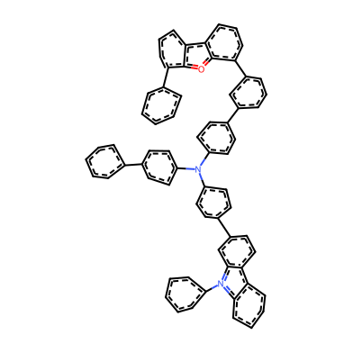 c1ccc(-c2ccc(N(c3ccc(-c4cccc(-c5cccc6c5oc5c(-c7ccccc7)cccc56)c4)cc3)c3ccc(-c4ccc5c6ccccc6n(-c6ccccc6)c5c4)cc3)cc2)cc1